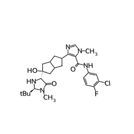 CN1C(=O)[C@@H](C2(O)CC3CC(c4ncn(C)c4C(=O)Nc4ccc(F)c(Cl)c4)CC3C2)N[C@@H]1C(C)(C)C